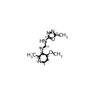 COc1ccnc(C)c1/N=C/Nc1nnc(C)o1